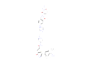 COc1cc(-c2cn(C)c(=O)c3cc(C(=O)NC4CCN(CCN5CCN(c6ccc7c(c6)C(=O)N(C6CCC(=O)NC6=O)C7)CC5)CC4)sc23)cc(OC)c1CN(C)C